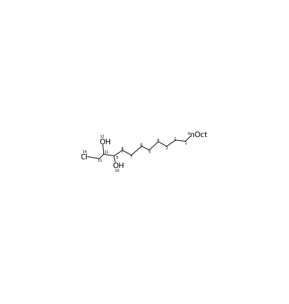 CCCCCCCCCCCCCCC[CH]C(O)C(O)CCl